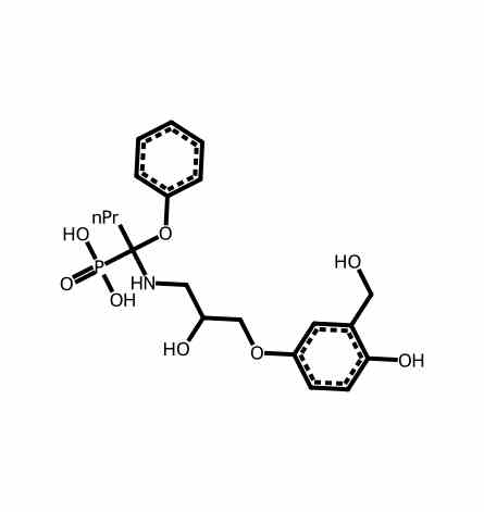 CCCC(NCC(O)COc1ccc(O)c(CO)c1)(Oc1ccccc1)P(=O)(O)O